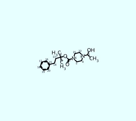 CC(O)N1CCN(C(=O)OC(C)(C)CCc2ccccc2)CC1